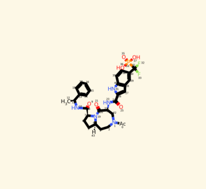 CC(=O)N1CC[C@H]2CC[C@@H](C(=O)N[C@@H](C)c3ccccc3)N2C(=O)[C@@H](NC(=O)c2cc3cc(C(F)(F)P(=O)(O)O)ccc3[nH]2)C1